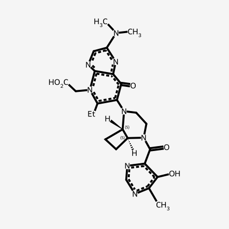 CCc1c(N2CCN(C(=O)c3ncnc(C)c3O)[C@H]3CC[C@@H]32)c(=O)c2nc(N(C)C)cnc2n1CC(=O)O